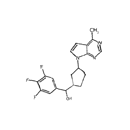 Cc1ncnc2c1ccn2C1CCC(C(O)c2cc(F)c(F)c(F)c2)C1